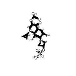 CS(=O)(=O)OC1CN(c2c(F)cc3c(=O)c(OC(=O)O)cn(C4CC4)c3c2F)C1